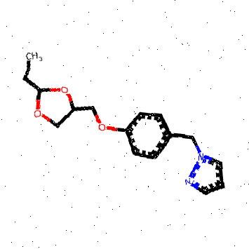 CCC1OCC(COc2ccc(Cn3cccn3)cc2)O1